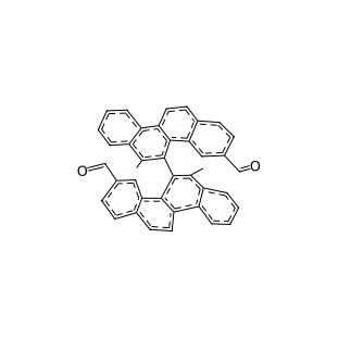 Cc1c(-c2c(C)c3ccccc3c3ccc4ccc(C=O)cc4c23)c2c3cc(C=O)ccc3ccc2c2ccccc12